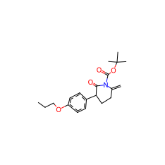 C=C1CCC(c2ccc(OCCC)cc2)C(=O)N1C(=O)OC(C)(C)C